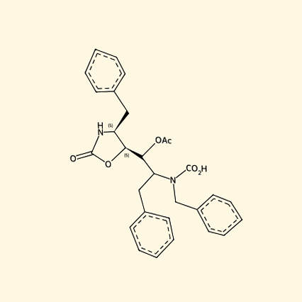 CC(=O)OC(C(Cc1ccccc1)N(Cc1ccccc1)C(=O)O)[C@H]1OC(=O)N[C@H]1Cc1ccccc1